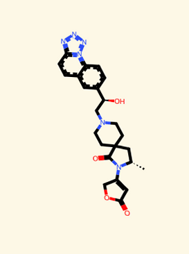 C[C@H]1CC2(CCN(C[C@H](O)c3ccc4c(ccc5nnnn54)c3)CC2)C(=O)N1C1=CC(=O)OC1